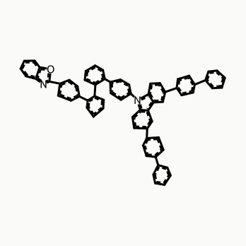 c1ccc(-c2ccc(-c3ccc4c(c3)c3cc(-c5ccc(-c6ccccc6)cc5)ccc3n4-c3ccc(-c4ccccc4-c4ccccc4-c4ccc(-c5nc6ccccc6o5)cc4)cc3)cc2)cc1